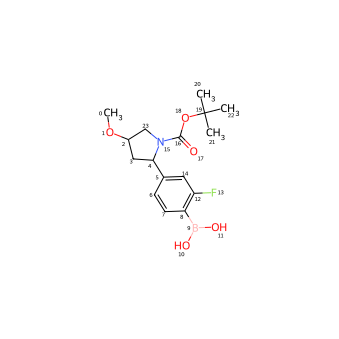 COC1CC(c2ccc(B(O)O)c(F)c2)N(C(=O)OC(C)(C)C)C1